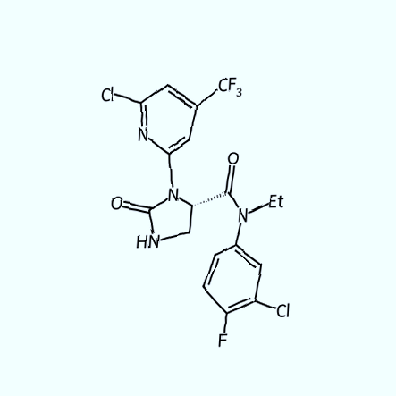 CCN(C(=O)[C@@H]1CNC(=O)N1c1cc(C(F)(F)F)cc(Cl)n1)c1ccc(F)c(Cl)c1